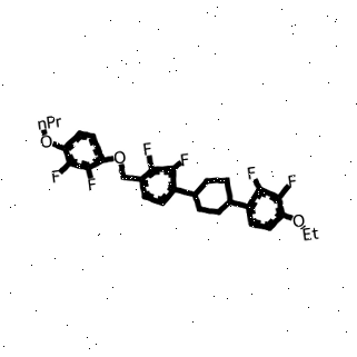 CCCOc1ccc(OCc2ccc(C3CCC(c4ccc(OCC)c(F)c4F)CC3)c(F)c2F)c(F)c1F